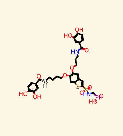 O=C(NCCCOc1cc2cc(S(=O)(=O)NC[PH](=O)O)sc2cc1OCCCC[AsH]C(=O)c1ccc(O)c(O)c1)c1ccc(O)c(O)c1